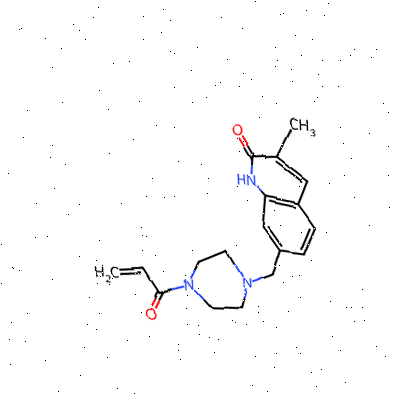 C=CC(=O)N1CCN(Cc2ccc3cc(C)c(=O)[nH]c3c2)CC1